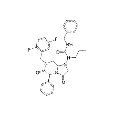 CCCN(C(=O)NCc1ccccc1)N1CC(=O)N2C1CN(Cc1cc(F)ccc1F)C(=O)[C@@H]2c1ccccc1